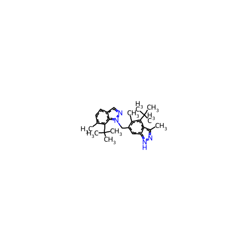 Cc1ccc2cnn(Cc3cc4[nH]nc(C)c4c(C(C)(C)C)c3C)c2c1C(C)(C)C